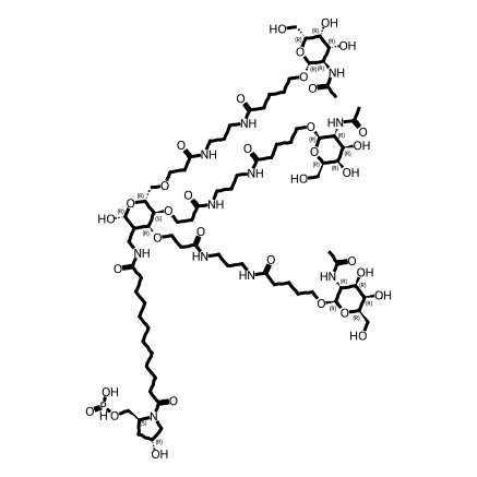 CC(=O)N[C@H]1[C@H](OCCCCC(=O)NCCCNC(=O)CCOC[C@H]2O[C@@H](O)C(CNC(=O)CCCCCCCCCCC(=O)N3C[C@H](O)C[C@H]3CO[PH](=O)O)[C@@H](OCCC(=O)NCCCNC(=O)CCCCO[C@@H]3O[C@H](CO)[C@H](O)[C@H](O)[C@H]3NC(C)=O)[C@@H]2OCCC(=O)NCCCNC(=O)CCCCO[C@@H]2O[C@H](CO)[C@H](O)[C@H](O)[C@H]2NC(C)=O)O[C@H](CO)[C@H](O)[C@@H]1O